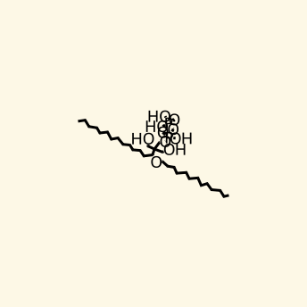 CCCCCCCCCCCCCOC(CCCCCCCCCCCCC)C(CO)(CO)COP(=O)(O)OP(=O)(O)O